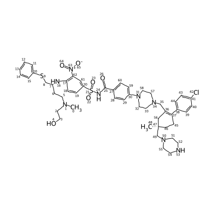 CN(CCO)CCC(CSc1ccccc1)Nc1ccc(S(=O)(=O)NC(=O)c2ccc(N3CCN(CC4=C(c5ccc(Cl)cc5)CC[C@@](C)(CN5CCNCC5)C4)CC3)cc2)cc1[N+](=O)[O-]